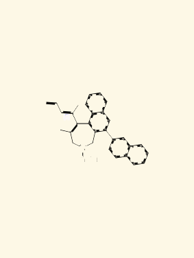 C=C/C=C(\C)C1=C(C)CN(CCCC)Cc2c(-c3ccc4ccccc4c3)cc3ccccc3c21